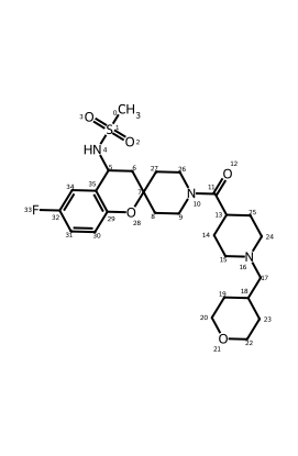 CS(=O)(=O)NC1CC2(CCN(C(=O)C3CCN(CC4CCOCC4)CC3)CC2)Oc2ccc(F)cc21